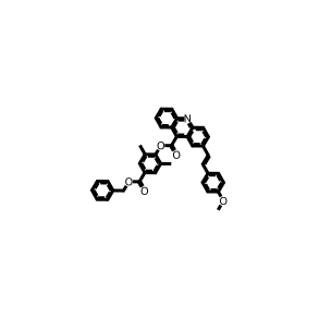 COc1ccc(C=Cc2ccc3nc4ccccc4c(C(=O)Oc4c(C)cc(C(=O)OCc5ccccc5)cc4C)c3c2)cc1